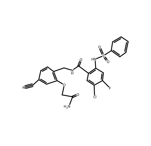 N#Cc1ccc(CNC(=O)c2cc(Cl)c(F)cc2NS(=O)(=O)c2ccccc2)c(OCC(N)=O)c1